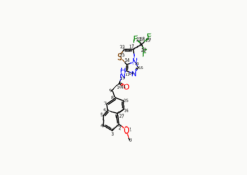 COc1cccc2cc(CC(=O)Nc3ncn4c(C(F)(F)F)csc34)ccc12